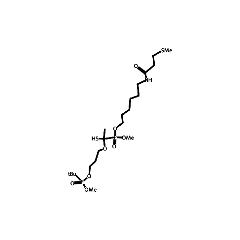 COP(=O)(OCCCOC(C)(S)P(=O)(OC)OCCCCCCNC(=O)CCSC)C(C)(C)C